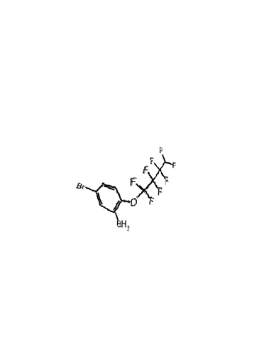 Bc1cc(Br)ccc1OC(F)(F)C(F)(F)C(F)(F)C(F)F